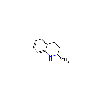 C[C@@H]1CCc2ccccc2N1